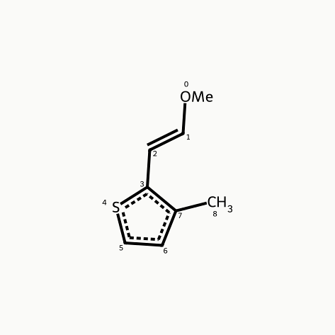 COC=Cc1sccc1C